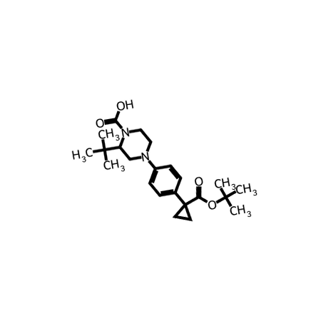 CC(C)(C)OC(=O)C1(c2ccc(N3CCN(C(=O)O)C(C(C)(C)C)C3)cc2)CC1